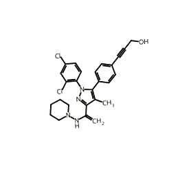 C=C(NN1CCCCC1)c1nn(-c2ccc(Cl)cc2Cl)c(-c2ccc(C#CCO)cc2)c1C